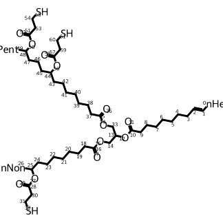 CCCCCC/C=C/CCCCCCCC(=O)OC(COC(=O)CCCCCCCC(CCCCCCCCC)OC(=O)CCS)COC(=O)CCCCCCCC(CCCC(CCCCC)OC(=O)CCS)OC(=O)CCS